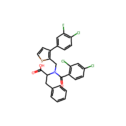 O=C(O)C(Cc1ccccc1)N(Cc1sccc1-c1ccc(Cl)c(F)c1)C(=O)c1ccc(Cl)cc1Cl